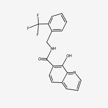 O=C(NCc1ccccc1C(F)(F)F)c1ccc2cccnc2c1O